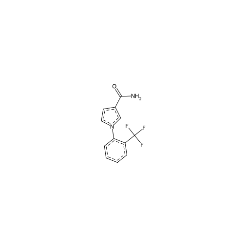 NC(=O)c1ccn(-c2ccccc2C(F)(F)F)c1